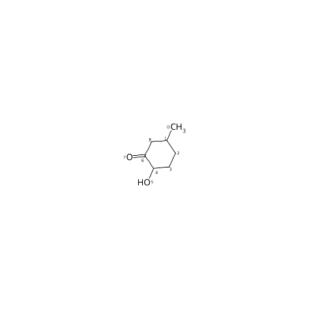 CC1CCC(O)C(=O)C1